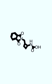 O=C(O)NC1CCC1CN1C(=O)c2ccccc2C1=O